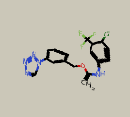 C=C(Nc1ccc(Cl)c(C(F)(F)F)c1)OCc1cccc(-n2cnnn2)c1